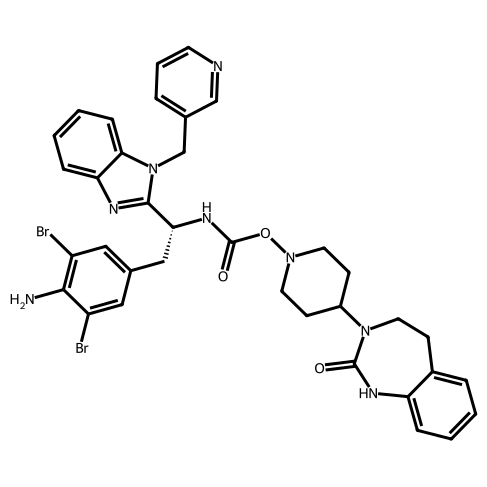 Nc1c(Br)cc(C[C@@H](NC(=O)ON2CCC(N3CCc4ccccc4NC3=O)CC2)c2nc3ccccc3n2Cc2cccnc2)cc1Br